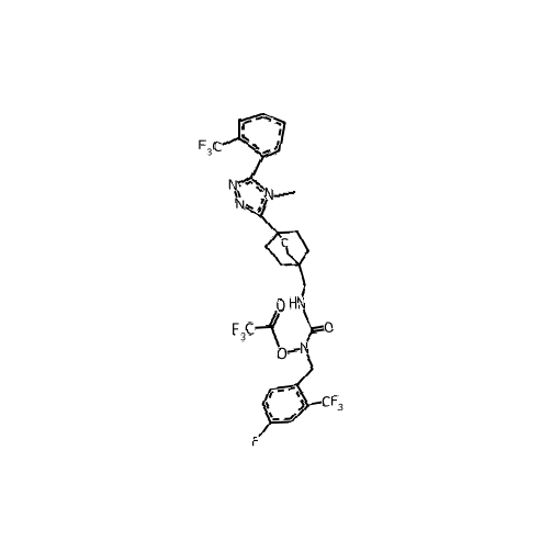 Cn1c(-c2ccccc2C(F)(F)F)nnc1C12CCC(CNC(=O)N(Cc3ccc(F)cc3C(F)(F)F)OC(=O)C(F)(F)F)(CC1)CC2